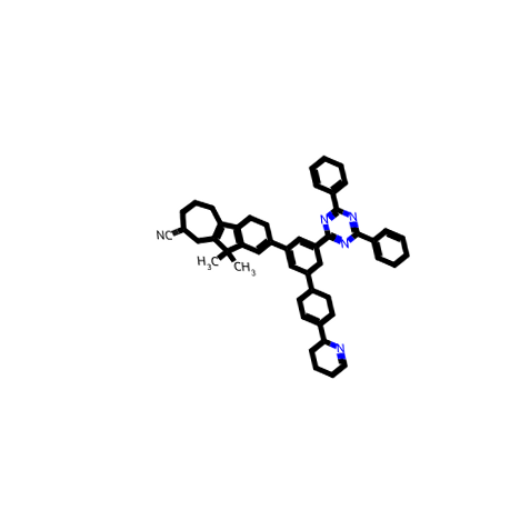 CC1(C)C2=C(CCC(C3=CC(C4CC=C(C5CCCC=N5)CC4)CC(c4nc(C5=CCCC=C5)nc(C5=CCCC=C5)n4)=C3)=C2)C2=C1CC(C#N)CCC2